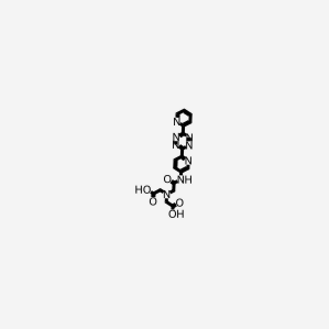 O=C(O)CN(CC(=O)O)CC(=O)Nc1ccc(-c2nnc(-c3ccccn3)nn2)nc1